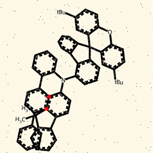 CC(C)(C)c1ccc2c(c1)C1(c3cc(C(C)(C)C)ccc3O2)c2ccccc2-c2c(N(c3ccc4c(c3)C(C)(C)c3ccccc3-4)c3ccccc3-c3ccc(-c4ccccc4)cc3)cccc21